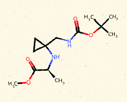 COC(=O)[C@H](C)NC1(CNC(=O)OC(C)(C)C)CC1